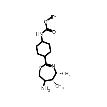 CC(C)OC(=O)NC1CCC(C2=N[C@H](C)[C@H](C)C(N)CS2)CC1